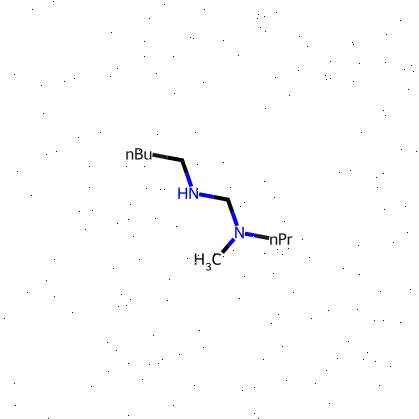 CCCCCNCN(C)CCC